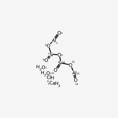 Cl.O.O.[CaH2].[O]=[Al][O][Si](=O)O[Si](=O)[O][Al]=[O]